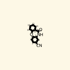 N#Cc1ccc2c(c1)NC(=O)c1ccccc1O2